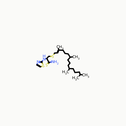 C/C(=C\CSCC(Nc1nccs1)C(N)=S)CCCC(C)CCCC(C)CCCC(C)C